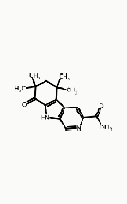 CC1(C)CC(C)(C)c2c([nH]c3cnc(C(N)=O)cc23)C1=O